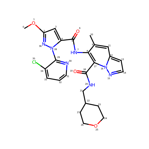 COc1cc(C(=O)Nc2c(C)cc3ccnn3c2C(=O)NCC2CCOCC2)n(-c2ncccc2Cl)n1